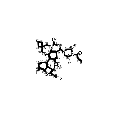 C=CC(=O)N1[C@H](C)CN(c2nc(=O)n3c4c(c(-c5ccc(F)c6sc(N)c(C#N)c56)c(C(F)(F)F)cc24)SCC2(CCC2)C3)C[C@@H]1C